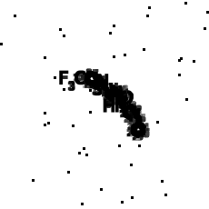 C[C@@H]1CN(c2nc3ccc(C(F)(F)F)cc3s2)C[C@H](C)N1C(=O)NC1CCN(Cc2ccccc2)CC1